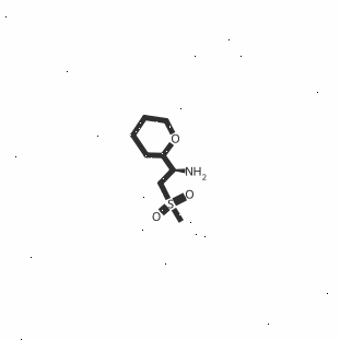 CS(=O)(=O)C[C@H](N)C1CCCCO1